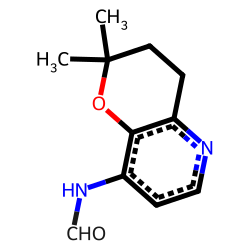 CC1(C)CCc2nccc(NC=O)c2O1